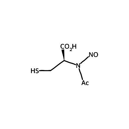 CC(=O)N(N=O)[C@@H](CS)C(=O)O